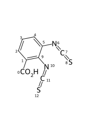 O=C(O)c1cccc(N=C=S)c1N=C=S